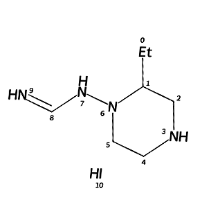 CCC1CNCCN1NC=N.I